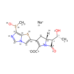 C[C@@H](O)[C@H]1C(=O)N2C(C(=O)[O-])=C(c3cn4cnc([S+](C)[O-])c4s3)C[C@H]12.[Na+]